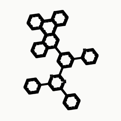 c1ccc(-c2cc(-c3ccccc3)nc(-c3cc(-c4ccccn4)cc(-c4cc5c6ccccc6c6ccccc6c5c5ccccc45)c3)n2)cc1